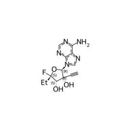 C#C[C@]1(O)[C@H](n2cnc3c(N)ncnc32)O[C@](F)(CC)[C@H]1O